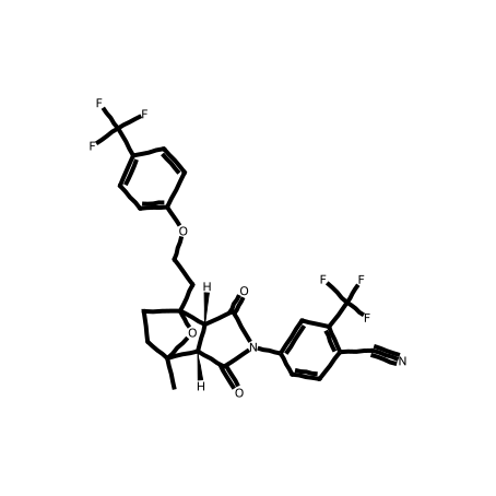 CC12CCC(CCOc3ccc(C(F)(F)F)cc3)(O1)[C@@H]1C(=O)N(c3ccc(C#N)c(C(F)(F)F)c3)C(=O)[C@@H]12